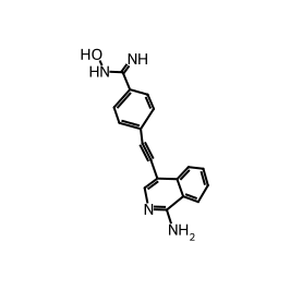 N=C(NO)c1ccc(C#Cc2cnc(N)c3ccccc23)cc1